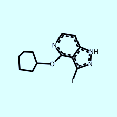 Ic1n[nH]c2ccnc(OC3CCCCC3)c12